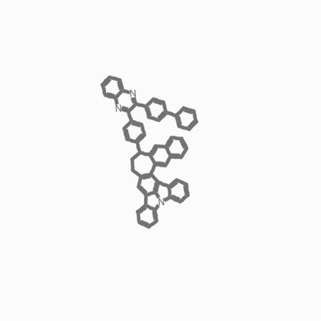 c1ccc(-c2ccc(-c3nc4ccccc4nc3-c3ccc(C4CCc5cc6c7ccccc7n7c8ccccc8c(c5-c5cc8ccccc8cc54)c67)cc3)cc2)cc1